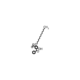 CCCCCCCCCCCCCCOc1cc(O)c(C(=O)c2ccccc2)cc1[N+](=O)[O-]